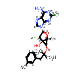 N#Cc1cccc(CC(OC2[C@H]3O[C@@H](n4cnc5c(N)nc(Cl)nc54)[C@@H](F)[C@@]23O)(C(=O)O)C(=O)O)c1